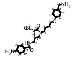 CC(C)(C)NC(=O)N(CCCCOc1ccc(CN)cc1)CCCNC(=O)c1ccc(N)cc1